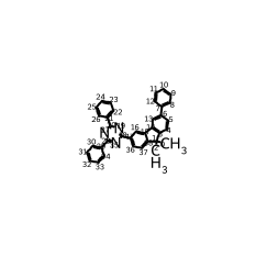 CC1(C)c2ccc(-c3ccccc3)cc2-c2cc(-c3nc(-c4ccccc4)nc(-c4ccccc4)n3)ccc21